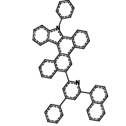 c1ccc(-c2cc(-c3cccc4ccccc34)nc(-c3cc4c5ccccc5c5c(c6ccccc6n5-c5ccccc5)c4c4ccccc34)c2)cc1